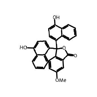 COc1ccc2c(c1)C(=O)OC2(c1ccc(O)c2ccccc12)c1ccc(O)c2ccccc12